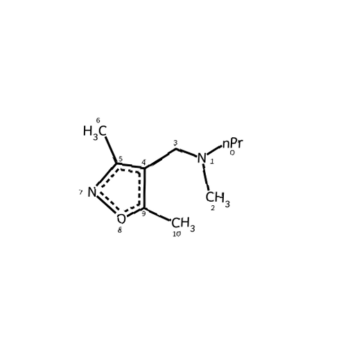 CCCN(C)Cc1c(C)noc1C